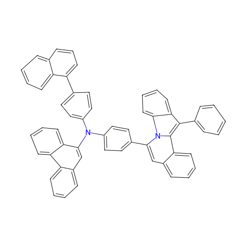 c1ccc(-c2c3ccccc3n3c(-c4ccc(N(c5ccc(-c6cccc7ccccc67)cc5)c5cc6ccccc6c6ccccc56)cc4)cc4ccccc4c23)cc1